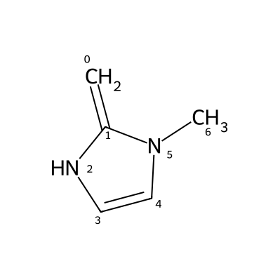 C=C1NC=CN1C